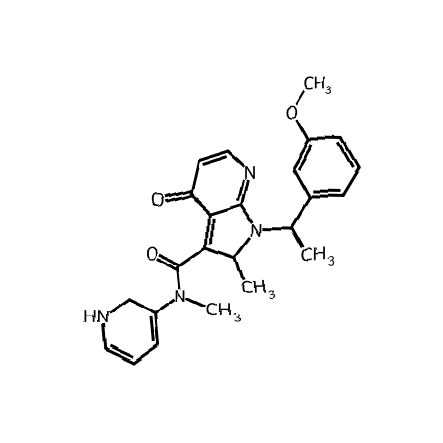 COc1cccc(C(C)N2C3=NC=CC(=O)C3=C(C(=O)N(C)C3=CC=CNC3)C2C)c1